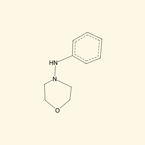 [CH]1CN(Nc2ccccc2)CCO1